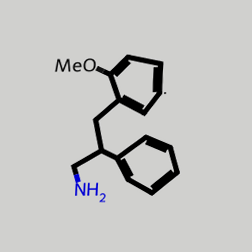 COc1cc[c]cc1CC(CN)c1ccccc1